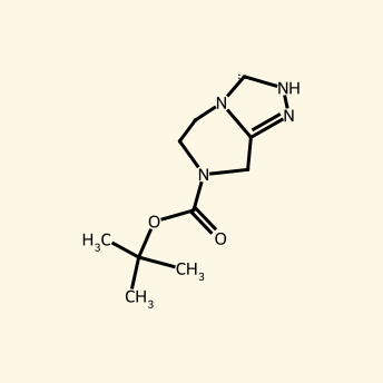 CC(C)(C)OC(=O)N1CCN2[C]NN=C2C1